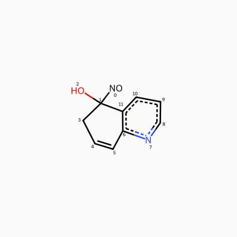 O=NC1(O)CC=Cc2ncccc21